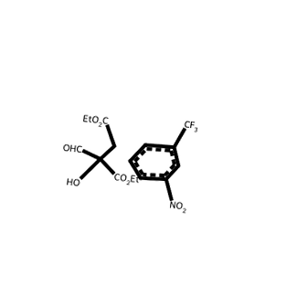 CCOC(=O)CC(O)(C=O)C(=O)OCC.O=[N+]([O-])c1cccc(C(F)(F)F)c1